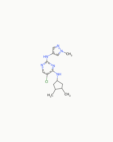 CC1CC(Nc2nc(Nc3cnn(C)c3)ncc2Cl)CC1C